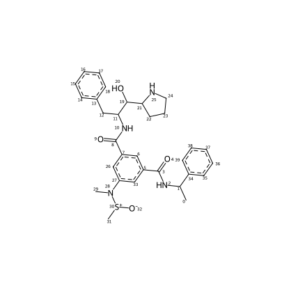 CC(NC(=O)c1cc(C(=O)NC(Cc2ccccc2)C(O)C2CCCN2)cc(N(C)[S+](C)[O-])c1)c1ccccc1